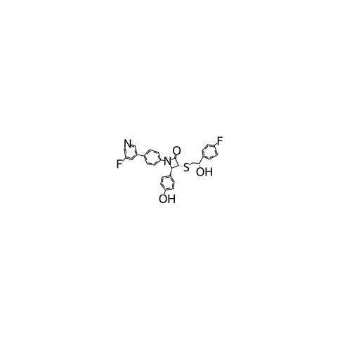 O=C1[C@H](SC[C@@H](O)c2ccc(F)cc2)[C@@H](c2ccc(O)cc2)N1c1ccc(-c2cncc(F)c2)cc1